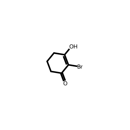 O=C1CCCC(O)=C1Br